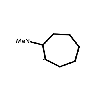 CNC1[CH]CCCCC1